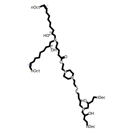 CCCCCCCC/C=C\CCCCCC[C@@H](O)CN(CCCCC(=O)OCCN1CCN(CCSSCCCCN(CC(O)CCCCCCCCCCCC)CC(O)CCCCCCCCCCCC)CC1)C[C@H](O)CCCCCC/C=C\CCCCCCCC